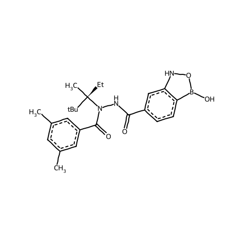 CC[C@@](C)(N(NC(=O)c1ccc2c(c1)NOB2O)C(=O)c1cc(C)cc(C)c1)C(C)(C)C